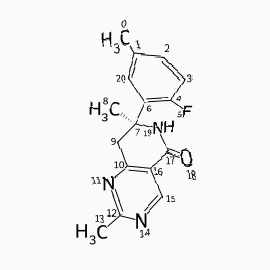 Cc1ccc(F)c([C@]2(C)Cc3nc(C)ncc3C(=O)N2)c1